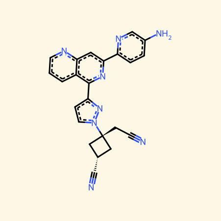 N#CC[C@]1(n2ccc(-c3nc(-c4ccc(N)cn4)cc4ncccc34)n2)C[C@@H](C#N)C1